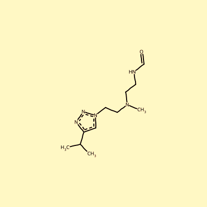 CC(C)c1cn(CCN(C)CCNC=O)nn1